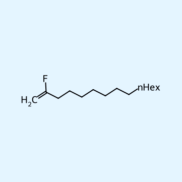 C=C(F)CCCCCCCCCCCCC